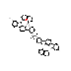 CC(C)(C)[Si](C)(c1ccc2c(c1)c1ccc3c(c1n2-c1ccccc1)C(c1ccccc1)c1cc(F)ccc1-3)c1ccc2c(c1)c1ccc3c4ccc(F)cc4n(-c4ccccc4)c3c1n2-c1ccccc1